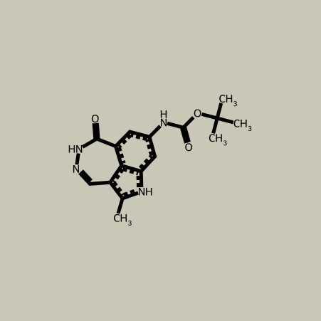 Cc1[nH]c2cc(NC(=O)OC(C)(C)C)cc3c2c1C=NNC3=O